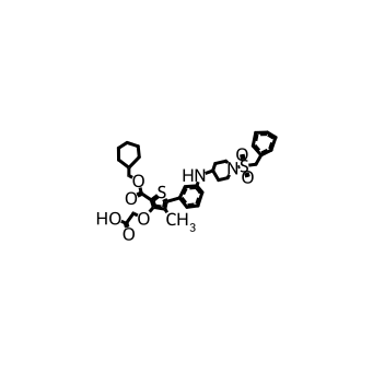 Cc1c(-c2cccc(NC3CCN(S(=O)(=O)Cc4ccccc4)CC3)c2)sc(C(=O)OCC2CCCCC2)c1OCC(=O)O